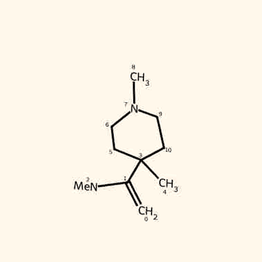 C=C(NC)C1(C)CCN(C)CC1